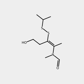 CC(=C(CCO)SSC(C)C)N(C)C=O